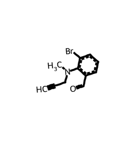 C#CCN(C)c1c(Br)cccc1C=O